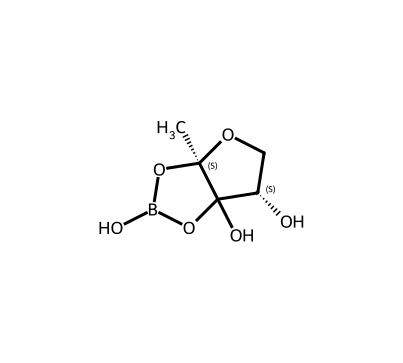 C[C@]12OC[C@H](O)C1(O)OB(O)O2